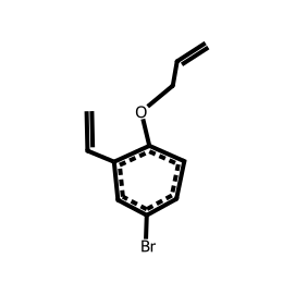 C=CCOc1ccc(Br)cc1C=C